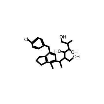 Cc1c(C(C)C(CO)C(O)C(O)C(C)CO)cc(Cc2ccc(Cl)cc2)c2c1CCC2